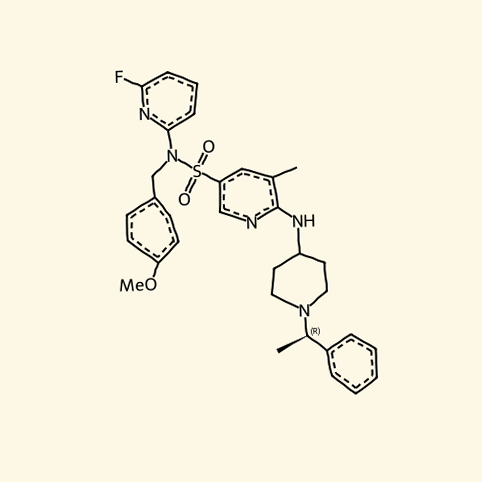 COc1ccc(CN(c2cccc(F)n2)S(=O)(=O)c2cnc(NC3CCN([C@H](C)c4ccccc4)CC3)c(C)c2)cc1